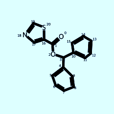 O=C(OC(c1ccccc1)c1ccccc1)c1cncs1